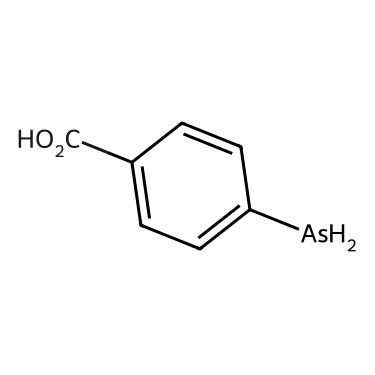 O=C(O)c1ccc([AsH2])cc1